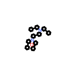 c1ccc(-c2cccc(N(c3cccc(-c4ccccc4)c3)c3cccc(-c4cccc(N(c5cccc(-c6ccccc6)c5)c5cccc6c5oc5ccccc56)c4)c3)c2)cc1